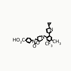 Cc1cc(-c2ccc(C3CC3)nc2)c(CN2CCC3(CC2)CN(c2ccc(C(=O)O)cc2)C(=O)O3)cc1C(F)(F)F